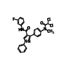 CN(C(=O)C(Cl)Cl)c1ccc(-c2nn(-c3ccccc3)cc2C(=O)Nc2cccc(F)c2)cc1